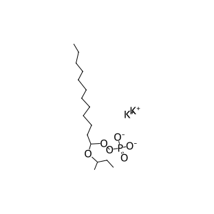 CCCCCCCCCCCC(OOP(=O)([O-])[O-])OC(C)CC.[K+].[K+]